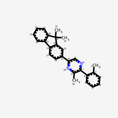 Cc1ccccc1-c1ncc(-c2ccc3c(c2)C(C)(C)c2ccccc2-3)nc1C